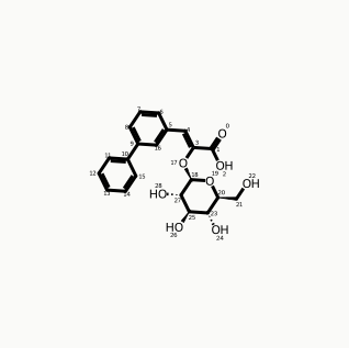 O=C(O)C(=Cc1cccc(-c2ccccc2)c1)O[C@H]1O[C@@H](CO)[C@H](O)[C@@H](O)[C@@H]1O